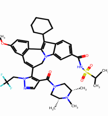 COc1ccc2c(c1)C=C(c1c(C(=O)N3C[C@@H](C)N(C)[C@@H](C)C3)cnn1CC(F)(F)F)Cn1c-2c(C2CCCCC2)c2ccc(C(=O)NS(=O)(=O)C(C)C)cc21